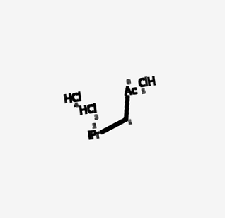 CC(=O)CC(C)C.Cl.Cl.Cl